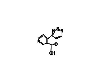 O=C(O)c1cnccc1-c1ccnnn1